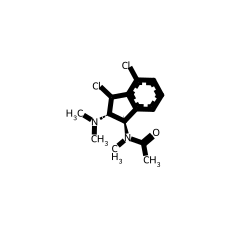 CC(=O)N(C)[C@@H]1c2cccc(Cl)c2C(Cl)[C@H]1N(C)C